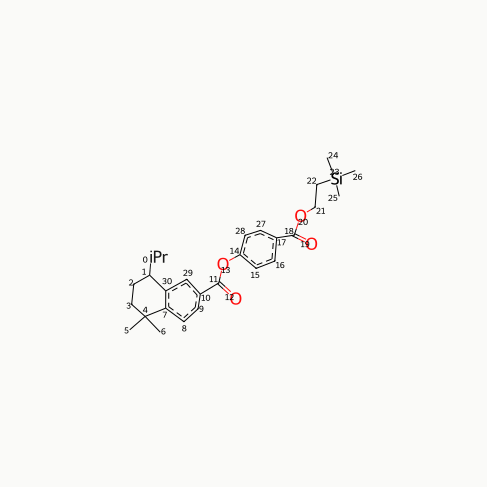 CC(C)C1CCC(C)(C)c2ccc(C(=O)Oc3ccc(C(=O)OCC[Si](C)(C)C)cc3)cc21